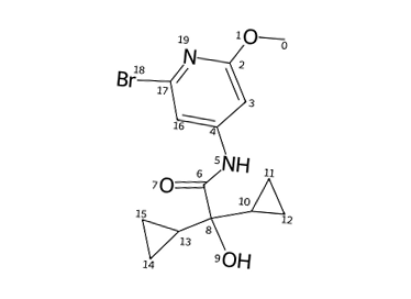 COc1cc(NC(=O)C(O)(C2CC2)C2CC2)cc(Br)n1